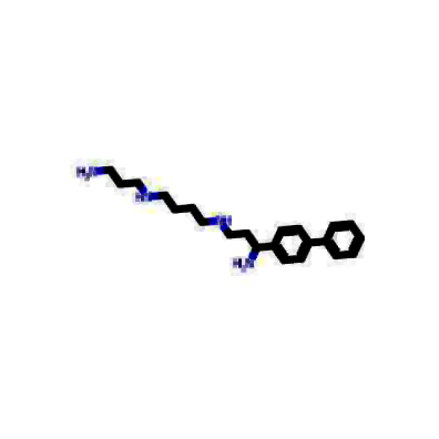 NCCCNCCCCNCCC(N)c1ccc(-c2ccccc2)cc1